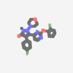 Cn1c(=O)c(-c2ccc(F)cc2)c(-c2ccnc(Oc3ccccc3F)n2)n1N1CCOCC1